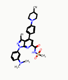 CC(C)c1nn(-c2cccc(N(C)C)c2)c2nc(C(=O)NS(C)(=O)=O)cc(-c3ccc(N4CCC(C#N)CC4)cc3)c12